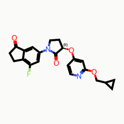 O=C1CCc2c(F)cc(N3CC[C@@H](Oc4ccnc(OCC5CC5)c4)C3=O)cc21